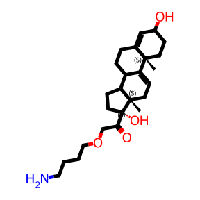 C[C@]12CCC(O)C=C1CCC1C2=CC[C@@]2(C)C1CC[C@]2(O)C(=O)COCCCCN